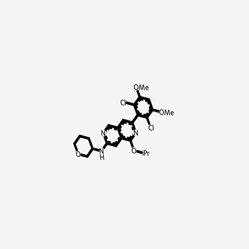 COc1cc(OC)c(Cl)c(-c2cc3cnc(NC4CCCOC4)cc3c(OC(C)C)n2)c1Cl